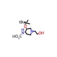 CC(C)(C)[Si](C)(C)O[C@H]1CN(CCO)CC[C@@H]1NC(=O)O